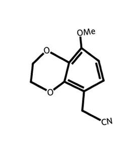 COc1ccc(CC#N)c2c1OCCO2